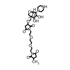 CC1CC(=O)N(CCOCCOCCN2C(=O)CC(OC[C@@]34CO[C@@H](O3)[C@H](N3CCNCC3)[C@@H](O)[C@H]4O)C2=O)C1=O